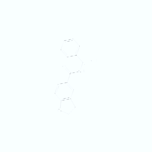 C[C@H](NC(=O)c1ccc2c(c1)CCN2)c1ccccc1